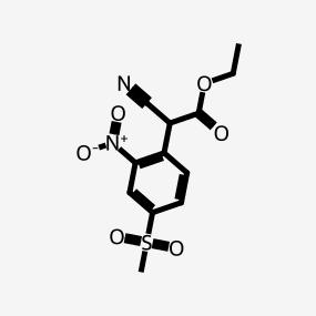 CCOC(=O)C(C#N)c1ccc(S(C)(=O)=O)cc1[N+](=O)[O-]